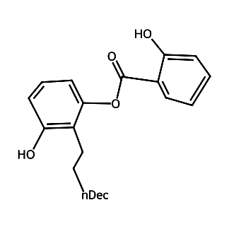 CCCCCCCCCCCCc1c(O)cccc1OC(=O)c1ccccc1O